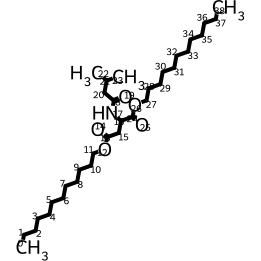 CCCCCCCCCCCCOC(=O)CC(NC(=O)CC(C)C)C(=O)OCCCCCCCCCCCC